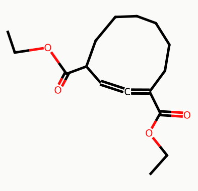 CCOC(=O)C1=C=CC(C(=O)OCC)CCCCCC1